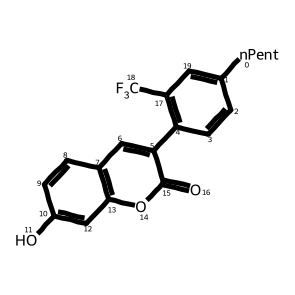 CCCCCc1ccc(-c2cc3ccc(O)cc3oc2=O)c(C(F)(F)F)c1